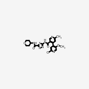 COc1cnc(Cl)cc1-c1cc(C)ncc1C(=O)Nc1nnc(C(=O)NC2CCOCC2)s1